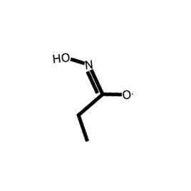 CC/C([O])=N\O